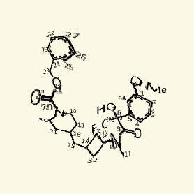 COc1cccc([C@@](O)(C(=O)N(C)C2CC(CC3CCN(C(=O)OCc4ccccc4)CC3)C2)C(F)(F)F)c1